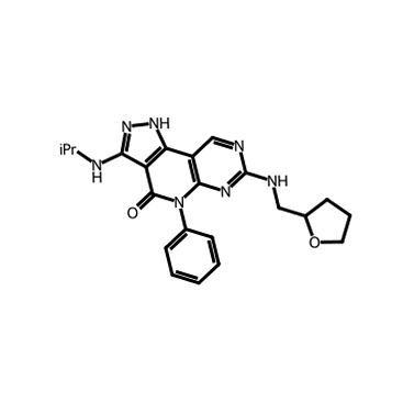 CC(C)Nc1n[nH]c2c1c(=O)n(-c1ccccc1)c1nc(NCC3CCCO3)ncc21